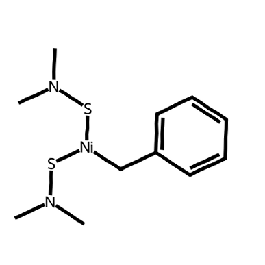 CN(C)[S][Ni]([CH2]c1ccccc1)[S]N(C)C